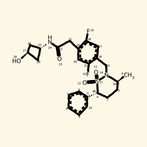 C[C@H]1CC[C@H](c2ccccc2)S(=O)(=O)N1Cc1cc(F)c(CC(=O)N[C@H]2C[C@H](O)C2)cc1F